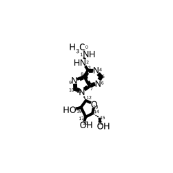 CNNc1ncnc2c1ncn2[C@@H]1O[C@H](CO)C(O)C1O